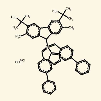 Cc1cc2c(cc1C(C)(C)C)-c1cc(C(C)(C)C)c(C)cc1[CH]2[Zr](=[CH]c1ccc(-c2ccccc2)cc1)(=[CH]c1ccc(-c2ccccc2)cc1)[C]1=CC=CC1.Cl.Cl